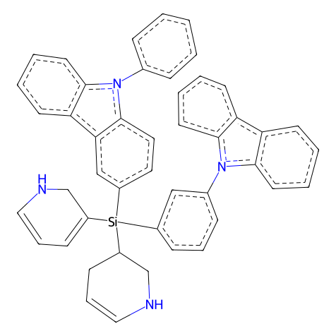 C1=CNCC([Si](c2cccc(-n3c4ccccc4c4ccccc43)c2)(c2ccc3c(c2)c2ccccc2n3-c2ccccc2)C2CC=CNC2)=C1